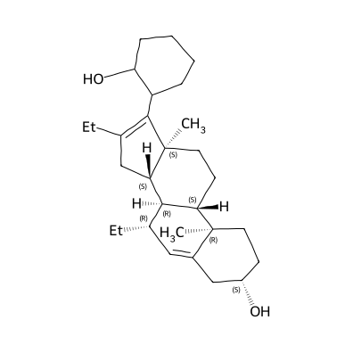 CCC1=C(C2CCCCC2O)[C@@]2(C)CC[C@H]3[C@@H]([C@@H](CC)C=C4C[C@@H](O)CC[C@@]43C)[C@@H]2C1